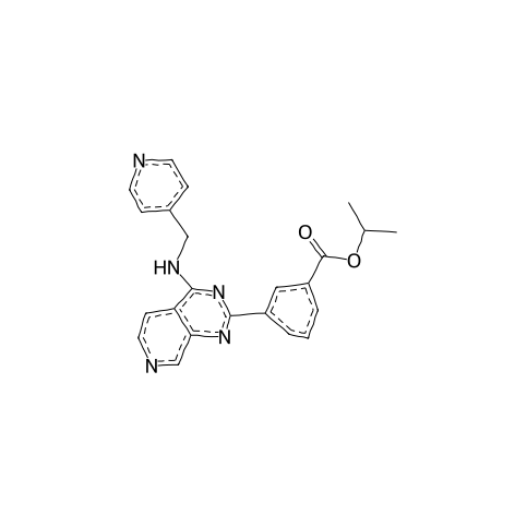 CC(C)OC(=O)c1cccc(-c2nc(NCc3ccncc3)c3ccncc3n2)c1